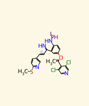 CSc1ccc(/C=C/C(=N)c2cc(O[C@H](C)c3c(Cl)cncc3Cl)ccc2NPI)cn1